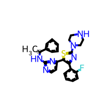 C[C@H](Nc1nccc(-c2sc(N3CCNCC3)nc2-c2ccccc2F)n1)c1ccccc1